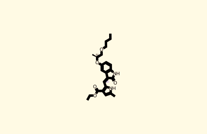 CCCCOC[C@H](C)Oc1ccc2c(c1)/C(=C/c1[nH]c(C)cc1C(=O)OCC)C(=O)N2